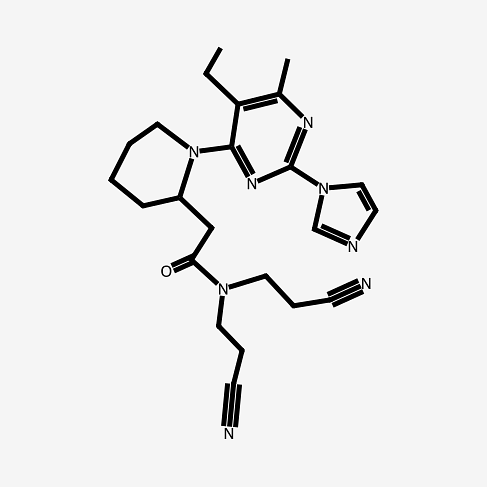 CCc1c(C)nc(-n2ccnc2)nc1N1CCCCC1CC(=O)N(CCC#N)CCC#N